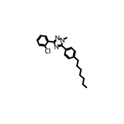 CCCCCCCc1ccc(-c2nc(-c3ccccc3Cl)nn2C)cc1